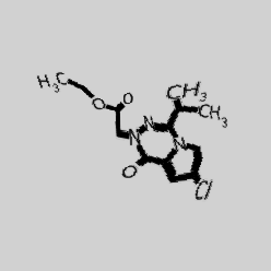 CCOC(=O)Cn1nc(C(C)C)n2cc(Cl)cc2c1=O